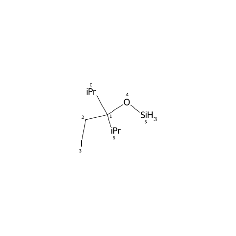 CC(C)C(CI)(O[SiH3])C(C)C